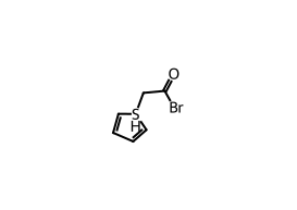 O=C(Br)C[SH]1C=CC=C1